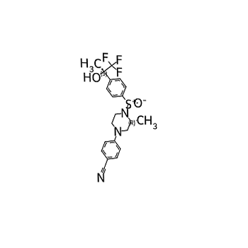 C[C@@H]1CN(c2ccc(C#N)cc2)CCN1[S+]([O-])c1ccc([C@](C)(O)C(F)(F)F)cc1